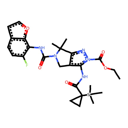 CCOC(=O)n1nc2c(c1NC(=O)C1([Si](C)(C)C)CC1)CN(C(=O)Nc1c(F)ccc3ccoc13)C2(C)C